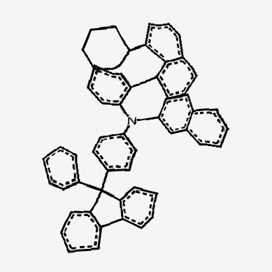 c1ccc(C2(c3ccc(N(c4ccc5ccccc5c4)c4ccccc4-c4cccc5cccc(C6CCCCC6)c45)cc3)c3ccccc3-c3ccccc32)cc1